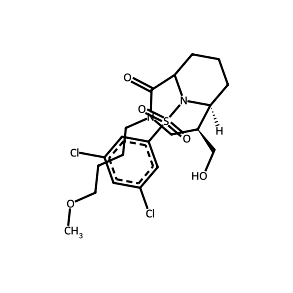 COCCCCN1C[C@H](CO)[C@@H]2CCCC(C1=O)N2S(=O)(=O)c1cc(Cl)cc(Cl)c1